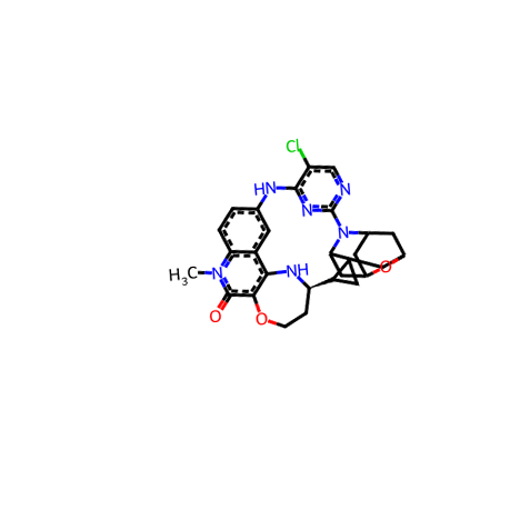 Cn1c(=O)c2c(c3cc(Nc4nc(N5C6CC7CC5CC(C6)O7)ncc4Cl)ccc31)N[C@@H](C1CC1)CCO2